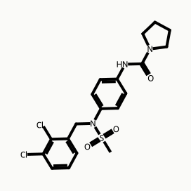 CS(=O)(=O)N(Cc1cccc(Cl)c1Cl)c1ccc(NC(=O)N2CCCC2)cc1